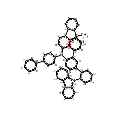 CC1(C)c2ccccc2-c2ccc(N(c3ccc(-c4ccccc4)cc3)c3ccc(-c4ccccc4-n4c5ccccc5c5ccccc54)cc3-c3ccccc3)cc21